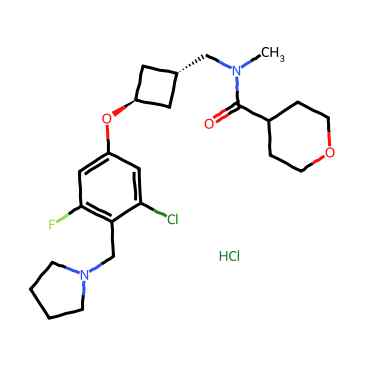 CN(C[C@H]1C[C@H](Oc2cc(F)c(CN3CCCC3)c(Cl)c2)C1)C(=O)C1CCOCC1.Cl